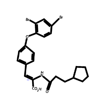 O=C(CCC1CCCC1)N/C(=C\c1ccc(Oc2ccc(Br)cc2Br)cc1)C(=O)O